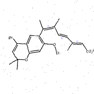 CCOc1cc2c(cc1\C(C)=C(F)/C=C/C(C)=C/C(=O)O)C(C(C)C)=CC(C)(C)O2